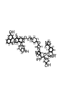 CCc1cccc2cc(O)cc(-c3ncc4c(N5CCC6CNC(C6)C5)nc(OCCN5CCC(OC6CN(c7cc([C@@H](C(=O)N8C[C@H](O)C[C@H]8C(=O)N[C@@H](C)c8ccc(-c9scnc9C)cc8)C(C)C)on7)C6)CC5)nc4c3F)c12